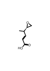 CC(C=CC(=O)O)[C@@H]1CO1